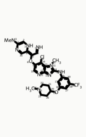 CNC1=CN/C(=C(\C=N)Oc2cnc3nc(Nc4cc(OC5CCN(C)CC5)cc(C(F)(F)F)c4)n(C)c3c2Cl)C=N1